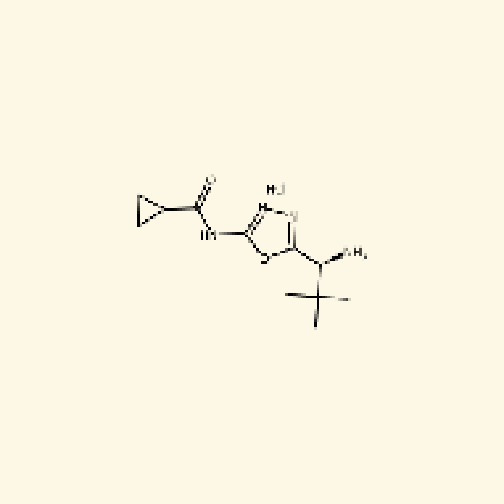 CC(C)(C)[C@H](N)c1nnc(NC(=O)C2CC2)o1.Cl